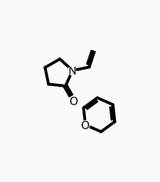 C1=CCOC=C1.C=CN1CCCC1=O